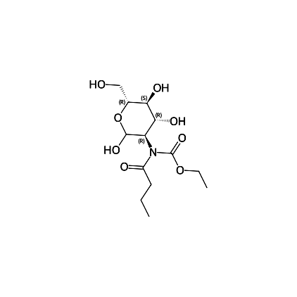 CCCC(=O)N(C(=O)OCC)[C@H]1C(O)O[C@H](CO)[C@@H](O)[C@@H]1O